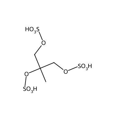 CC(COS(=O)(=O)O)(COS(=O)(=O)O)OS(=O)(=O)O